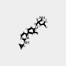 Cc1cc(-c2ccnc(NC3CC3)n2)ccc1OC[C@](C)([CH]N)CC(C)C